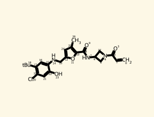 C=CC(=O)N1CC(NC(=O)c2oc(CNc3cc(C(C)(C)C)c(Cl)cc3O)cc2C)C1